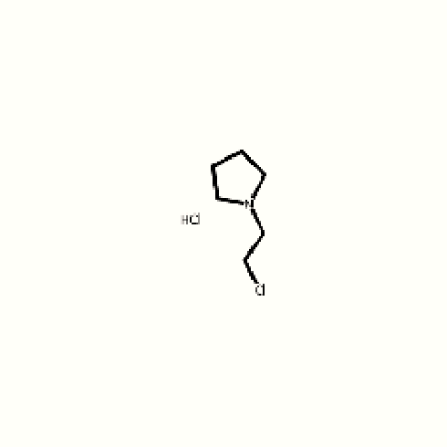 Cl.ClCCN1CCCC1